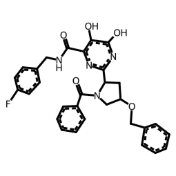 O=C(NCc1ccc(F)cc1)c1nc(C2CC(OCc3ccccc3)CN2C(=O)c2ccccc2)nc(O)c1O